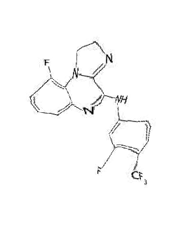 Fc1cc(NC2=Nc3cccc(F)c3N3CCN=C23)ccc1C(F)(F)F